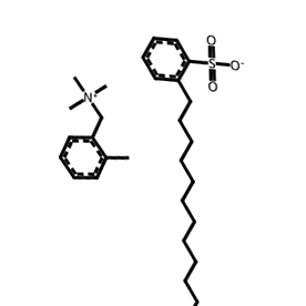 CCCCCCCCCCCCc1ccccc1S(=O)(=O)[O-].Cc1ccccc1C[N+](C)(C)C